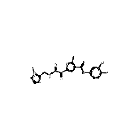 Cc1oc(C(=O)C(=O)NCc2nccn2C)cc1C(=O)Nc1ccc(F)c(Cl)c1